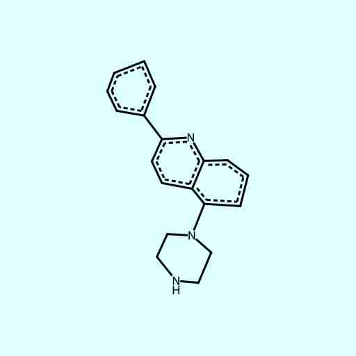 c1ccc(-c2ccc3c(N4CCNCC4)cccc3n2)cc1